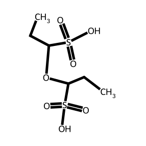 CCC(OC(CC)S(=O)(=O)O)S(=O)(=O)O